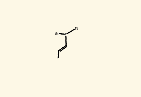 CC=CP(CC)CC